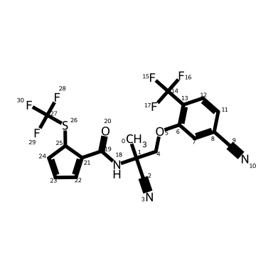 CC(C#N)(COc1cc(C#N)ccc1C(F)(F)F)NC(=O)C1=CC=CC1SC(F)(F)F